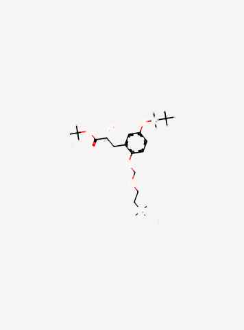 CC(C)(C)OC(=O)[C@H](O)Cc1cc(O[Si](C)(C)C(C)(C)C)ccc1OCOCC[Si](C)(C)C